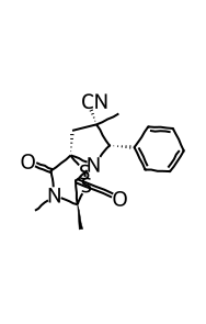 CN1C(=O)[C@@]23C[C@](C)(C#N)[C@H](c4ccccc4)N2C(=O)[C@]1(C)SS3